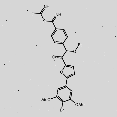 CCOC(C(=O)c1ccc(-c2cc(OC)c(Br)c(OC)c2)o1)c1ccc(C(=N)SC(C)=N)cc1